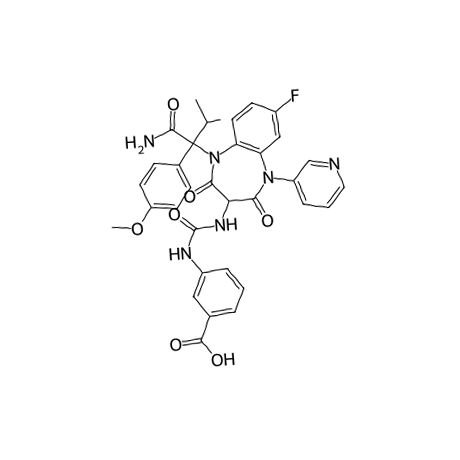 COc1ccc(C(C(N)=O)(C(C)C)N2C(=O)C(NC(=O)Nc3cccc(C(=O)O)c3)C(=O)N(c3cccnc3)c3cc(F)ccc32)cc1